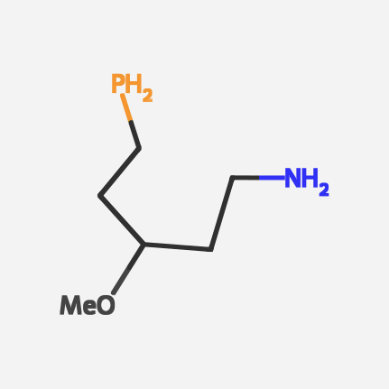 COC(CCN)CCP